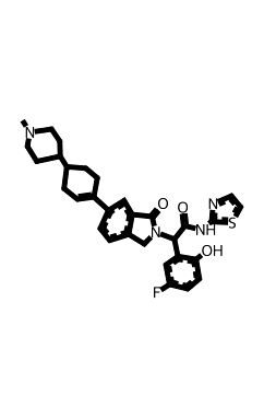 CN1CCC(C2CC=C(c3ccc4c(c3)C(=O)N(C(C(=O)Nc3nccs3)c3cc(F)ccc3O)C4)CC2)CC1